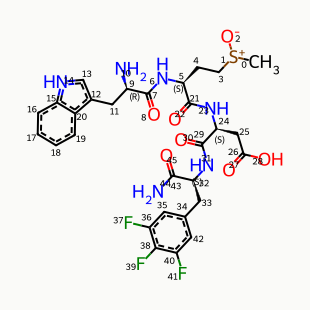 C[S+]([O-])CC[C@H](NC(=O)[C@H](N)Cc1c[nH]c2ccccc12)C(=O)N[C@@H](CC(=O)O)C(=O)N[C@@H](Cc1cc(F)c(F)c(F)c1)C(N)=O